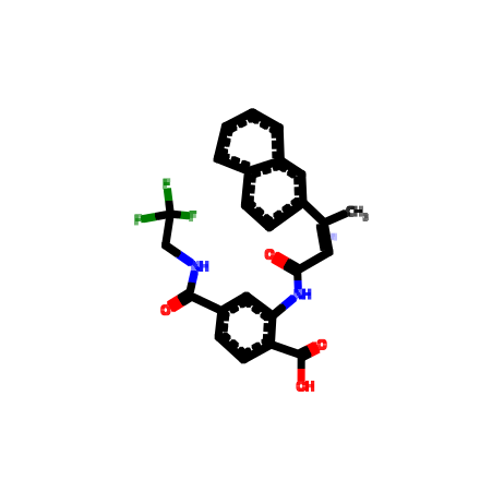 C/C(=C/C(=O)Nc1cc(C(=O)NCC(F)(F)F)ccc1C(=O)O)c1ccc2ccccc2c1